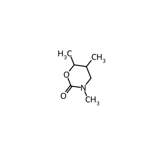 CC1CN(C)C(=O)OC1C